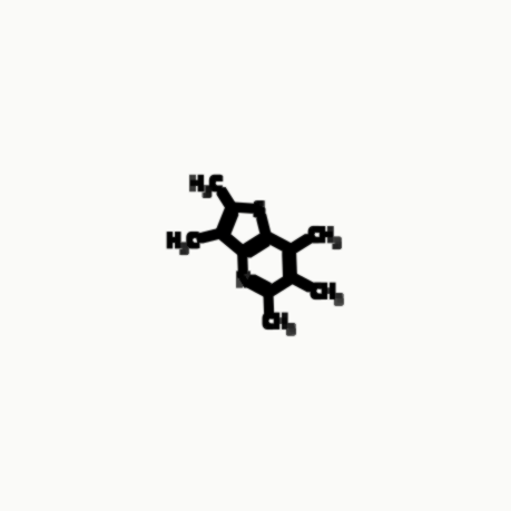 Cc1nc2c(C)c(C)sc2c(C)c1C